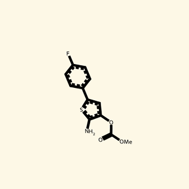 COC(=O)Oc1cc(-c2ccc(F)cc2)sc1N